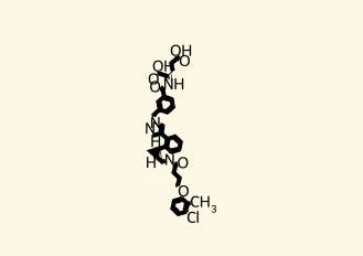 Cc1c(Cl)cccc1OCCCC(=O)N1C[C@@H]2C[C@@H]2c2c(-c3cnn(Cc4cccc(C(=O)N[C@@H](CCC(=O)O)C(=O)O)c4)c3)cccc21